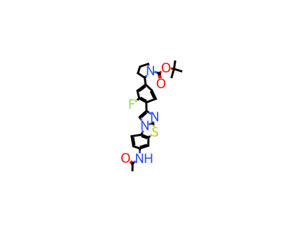 CC(=O)Nc1ccc2c(c1)sc1nc(-c3ccc(C4CCCN4C(=O)OC(C)(C)C)cc3F)cn12